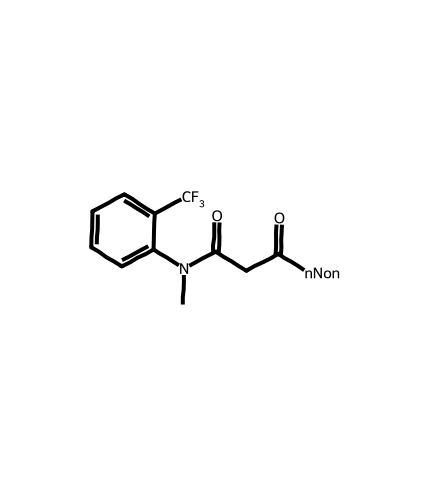 CCCCCCCCCC(=O)CC(=O)N(C)c1ccccc1C(F)(F)F